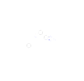 Cc1cc(F)c(-c2ccn3nc(N)nc3c2)cc1C(=O)NCCC(O)c1ccc(F)cc1